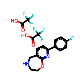 Fc1ccc(-c2ccc3c(n2)OCCNC3)cc1.O=C(O)C(F)(F)F.O=C(O)C(F)(F)F